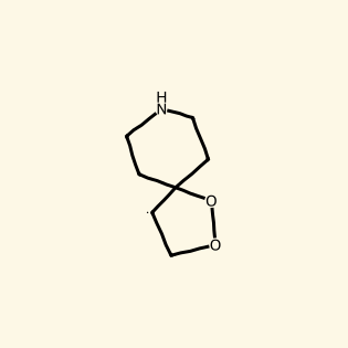 [CH]1COOC12CCNCC2